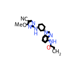 C=CC(=O)Nc1cccc2c1ncn2[C@H]1CCC[C@@H](Nc2ncc(C#N)c(OC)n2)C1